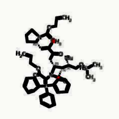 C=CCOC(=O)C(N1C(=O)[C@@H]([C@@H](CO[SiH](C)C)C(C)(C)C)[C@H]1CC(=O)C(C)=C[C@@H]1CCCN1C(=O)OCC=C)=P(c1ccccc1)(c1ccccc1)c1ccccc1